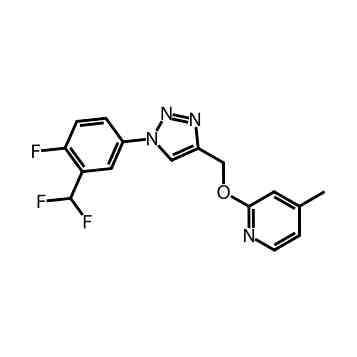 Cc1ccnc(OCc2cn(-c3ccc(F)c(C(F)F)c3)nn2)c1